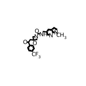 Cn1ccc2cc(CNC(=O)N3CC4(CC(=O)c5ccc(C(F)(F)F)cc5O4)C3)cnc21